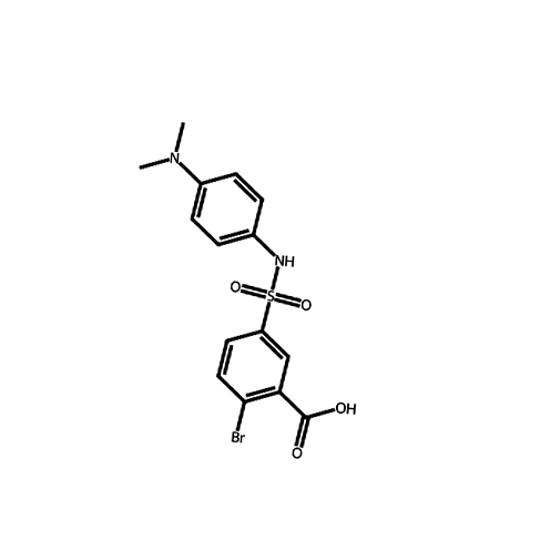 CN(C)c1ccc(NS(=O)(=O)c2ccc(Br)c(C(=O)O)c2)cc1